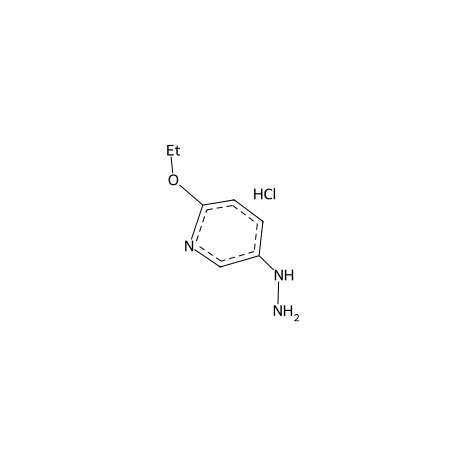 CCOc1ccc(NN)cn1.Cl